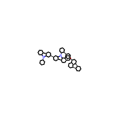 c1ccc(-n2c3ccccc3c3ccc(-c4ccc5c6ccc7ccccc7c6n(-c6ccccc6-c6ccc(-c7ccc8c9c(cccc79)-c7ccccc7-8)cc6)c5c4)cc32)cc1